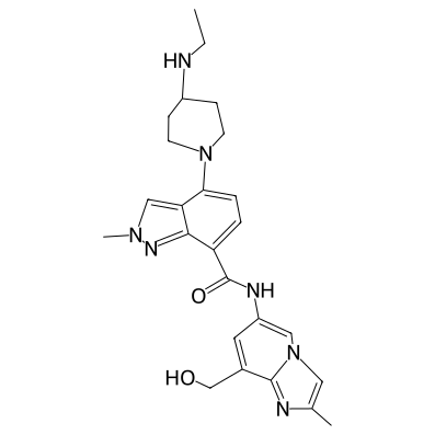 CCNC1CCN(c2ccc(C(=O)Nc3cc(CO)c4nc(C)cn4c3)c3nn(C)cc23)CC1